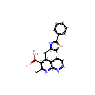 Cc1nc2ncccc2c(Cc2csc(-c3ccccc3)n2)c1C(=O)O